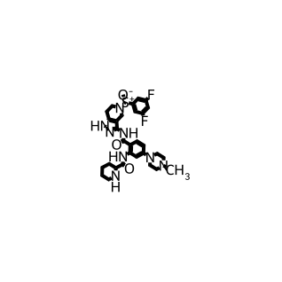 CN1CCN(c2ccc(C(=O)Nc3n[nH]c4c3CN([S+]([O-])c3cc(F)cc(F)c3)CC4)c(NC(=O)C3CCCCN3)c2)CC1